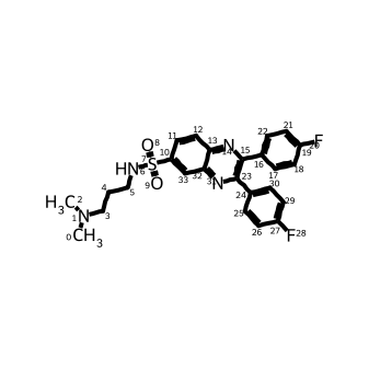 CN(C)CCCNS(=O)(=O)c1ccc2nc(-c3ccc(F)cc3)c(-c3ccc(F)cc3)nc2c1